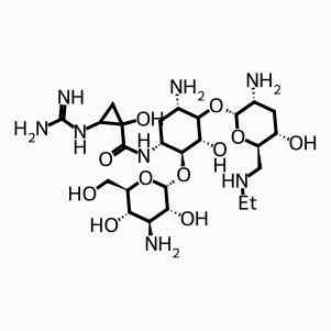 CCNC[C@H]1O[C@H](OC2[C@@H](N)C[C@@H](NC(=O)C3(O)CC3NC(=N)N)[C@H](O[C@H]3O[C@H](CO)[C@@H](O)[C@H](N)[C@H]3O)[C@H]2O)[C@H](N)C[C@@H]1O